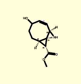 COC(=O)[C@@H]1[C@H]2CCC(O)/C=C\[C@H]3N[C@@]213